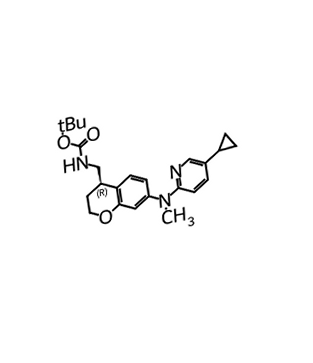 CN(c1ccc2c(c1)OCC[C@H]2CNC(=O)OC(C)(C)C)c1ccc(C2CC2)cn1